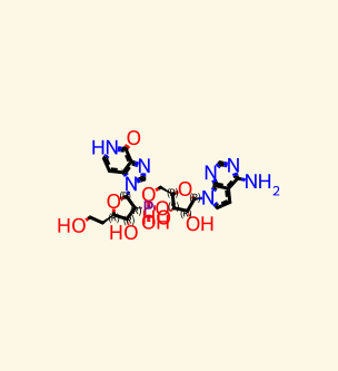 Nc1ncnc2c1ccn2[C@@H]1O[C@H](COP(=O)(O)[C@@H]2[C@H](O)[C@@H](CCO)O[C@H]2n2cnc3c(=O)[nH]ccc32)[C@@H](O)[C@H]1O